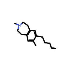 CCCCCc1cc2c(cc1C)CCN(C)CC2